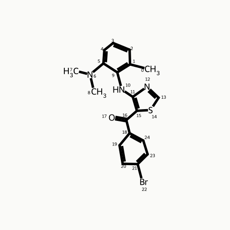 Cc1cccc(N(C)C)c1Nc1ncsc1C(=O)c1ccc(Br)cc1